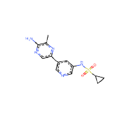 Cc1nc(-c2cncc(NS(=O)(=O)C3CC3)c2)cnc1N